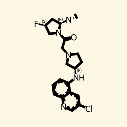 C#[N+][C@@H]1C[C@H](F)CN1C(=O)CN1CC[C@@H](Nc2cccc3ncc(Cl)cc23)C1